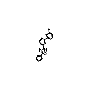 Fc1cccc(-c2cccc(-c3nsc(-c4ccccc4)n3)c2)c1